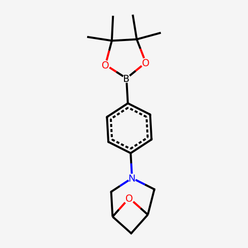 CC1(C)OB(c2ccc(N3CC4CC(C3)O4)cc2)OC1(C)C